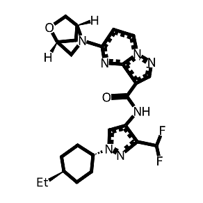 CC[C@H]1CC[C@H](n2cc(NC(=O)c3cnn4ccc(N5C[C@H]6C[C@@H]5CO6)nc34)c(C(F)F)n2)CC1